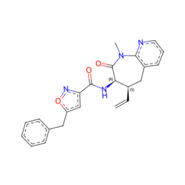 C=C[C@@H]1Cc2cccnc2N(C)C(=O)[C@@H]1NC(=O)c1cc(Cc2ccccc2)on1